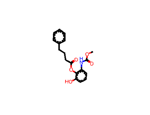 COC(=O)Nc1cccc(O)c1OC(=O)CCCc1ccccc1